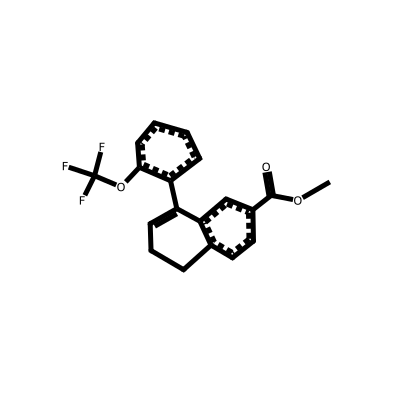 COC(=O)c1ccc2c(c1)C(c1ccccc1OC(F)(F)F)=CCC2